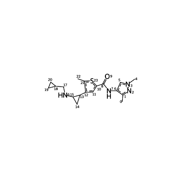 Cc1nn(C)cc1NC(=O)c1cc(C2CC2NCC2CC2)c(C)s1